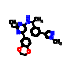 CCc1nc(NC(C)c2cccc(-c3cnn(C)c3)c2)cc(-c2ccc3c(c2)OCCO3)n1